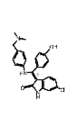 CN(C)Cc1ccc(N/C(=C2\C(=O)Nc3cc(Cl)ccc32)c2ccc(O)cc2)cc1